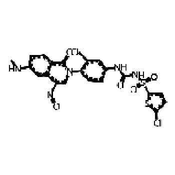 CNc1ccc2c(=O)n(-c3ccc(NC(=O)NS(=O)(=O)c4ccc(Cl)s4)cc3Cl)cc(N=O)c2c1